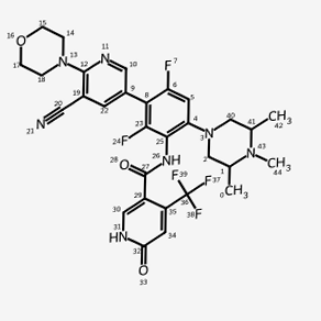 CC1CN(c2cc(F)c(-c3cnc(N4CCOCC4)c(C#N)c3)c(F)c2NC(=O)c2c[nH]c(=O)cc2C(F)(F)F)CC(C)N1C